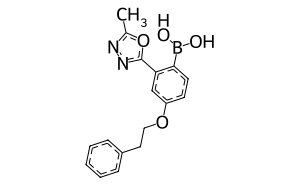 Cc1nnc(-c2cc(OCCc3ccccc3)ccc2B(O)O)o1